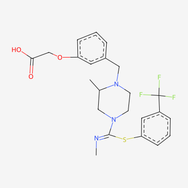 C/N=C(\Sc1cccc(C(F)(F)F)c1)N1CCN(Cc2cccc(OCC(=O)O)c2)C(C)C1